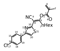 C=C(C)C(=O)O/C(CCCCCC)=C(\C#N)c1nc(-c2ccc(Cl)cc2)cs1